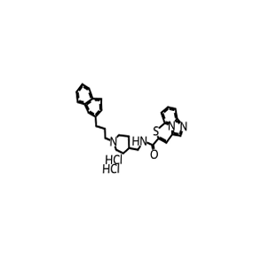 Cl.Cl.O=C(NCC1CCN(CCCc2ccc3ccccc3c2)CC1)C1=Cc2cnc3cccc(n23)S1